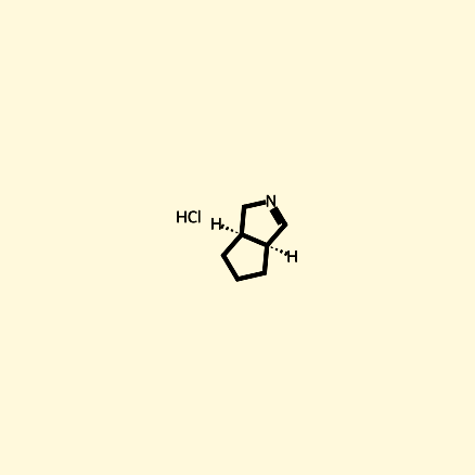 C1=NC[C@@H]2CCC[C@H]12.Cl